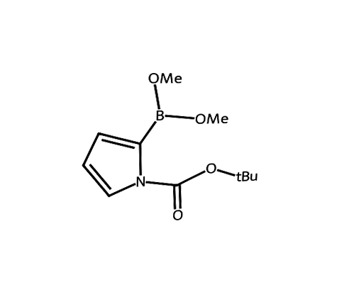 COB(OC)c1cccn1C(=O)OC(C)(C)C